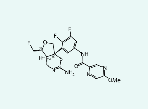 COc1cnc(C(=O)Nc2cc(F)c(F)c([C@]34CO[C@H](CF)[C@@H]3CN=C(N)S4)c2)cn1